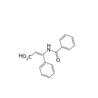 O=C(O)C=C(NC(=O)c1ccccc1)c1ccccc1